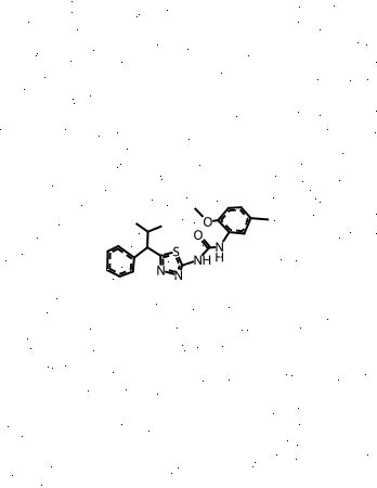 COc1ccc(C)cc1NC(=O)Nc1nnc(C(c2ccccc2)C(C)C)s1